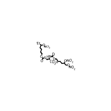 CCC(CCCCOC(=O)SCC(NC(=O)OCCCCC(CO[N+](=O)[O-])O[N+](=O)[O-])C(=O)O)O[N+](=O)[O-]